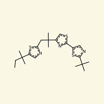 CCC(C)(C)c1cnc(CC(C)(C)c2csc(-c3cnc(C(C)(C)C)s3)n2)s1